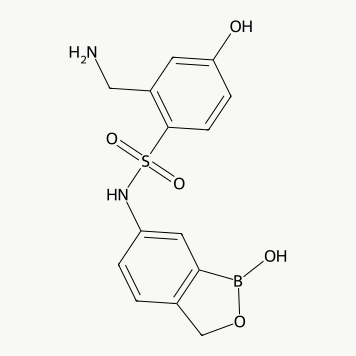 NCc1cc(O)ccc1S(=O)(=O)Nc1ccc2c(c1)B(O)OC2